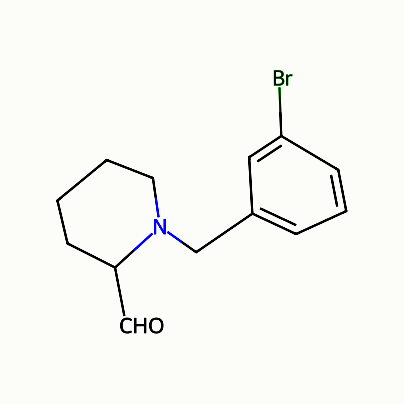 O=CC1CCCCN1Cc1cccc(Br)c1